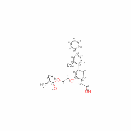 C=C(C)C(=O)OCCOc1cc(-c2ccc(-c3ccccc3)cc2CC)ccc1CCO